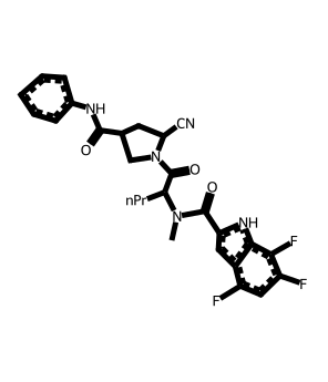 CCCC(C(=O)N1CC(C(=O)Nc2ccccc2)CC1C#N)N(C)C(=O)c1cc2c(F)cc(F)c(F)c2[nH]1